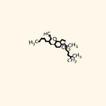 C#CCC(C/C=C\CC)C[C@@H]1CC[C@@]2(C)C(CC[C@@H]2[C@H](C)CCCC(C)C)C1=O